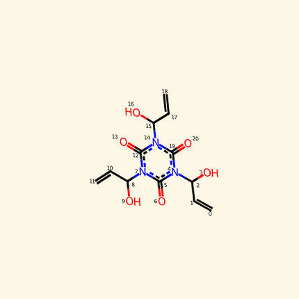 C=CC(O)n1c(=O)n(C(O)C=C)c(=O)n(C(O)C=C)c1=O